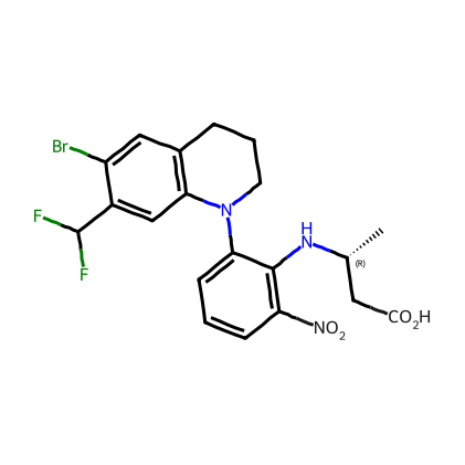 C[C@H](CC(=O)O)Nc1c(N2CCCc3cc(Br)c(C(F)F)cc32)cccc1[N+](=O)[O-]